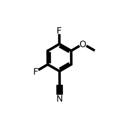 COc1cc(C#N)c(F)cc1F